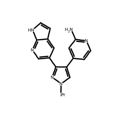 CC(C)n1cc(-c2ccnc(N)c2)c(-c2cnc3[nH]ccc3c2)n1